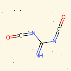 N=C(N=C=O)N=C=O